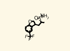 CC(CC1COc2ccc(C(F)(F)F)cc21)[S+](N)[O-]